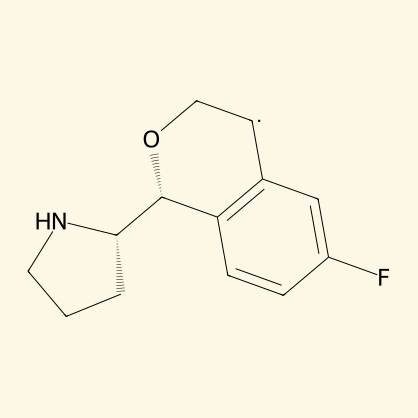 Fc1ccc2c(c1)[CH]CO[C@H]2[C@@H]1CCCN1